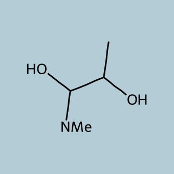 [CH2]NC(O)C(C)O